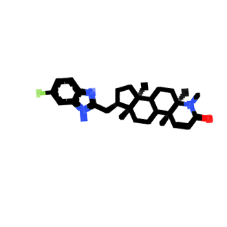 CN1C(=O)C=C[C@]2(C)C3CC[C@]4(C)[C@@H](Cc5nc6ccc(F)cc6[nH]5)CC[C@H]4C3CC[C@@H]12